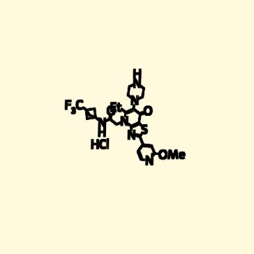 CCc1c(N2CCNCC2)c(=O)c2sc(-c3ccnc(OC)c3)nc2n1CC(=O)NC12CC(C(F)(F)F)(C1)C2.Cl